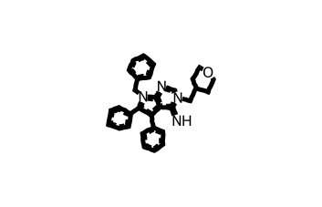 N=c1c2c(-c3ccccc3)c(-c3ccccc3)n(Cc3ccccc3)c2ncn1CC1CCOCC1